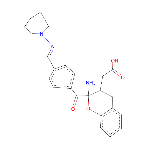 NC1(C(=O)c2ccc(C=NN3CCCCC3)cc2)Oc2ccccc2CC1CC(=O)O